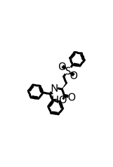 O=C(O)[C@H](CCS(=O)(=O)c1ccccc1)N=C(c1ccccc1)c1ccccc1